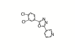 Clc1ccc(-c2nnc(-c3cccnc3)o2)cc1Cl